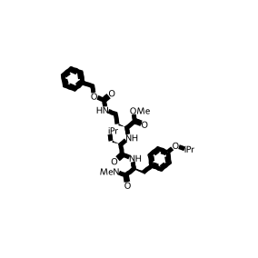 CNC(=O)[C@H](Cc1ccc(OC(C)C)cc1)NC(=O)[C@H](CC(C)C)N[C@H](CCNC(=O)OCc1ccccc1)C(=O)OC